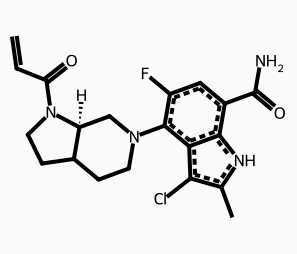 C=CC(=O)N1CCC2CCN(c3c(F)cc(C(N)=O)c4[nH]c(C)c(Cl)c34)C[C@@H]21